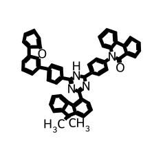 CC1(C)c2ccccc2-c2c(C3=NC(c4ccc(-n5c(=O)c6ccccc6c6ccccc65)cc4)NC(c4ccc(-c5cccc6c5oc5ccccc56)cc4)=N3)cccc21